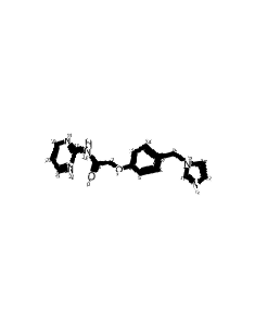 O=C(COc1ccc(Cn2ccnc2)cc1)Nc1ncccn1